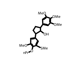 CCCOc1c(OC)cc(C2CCC(c3cc(OC)c(OC)c(OC)c3)C2O)cc1SC